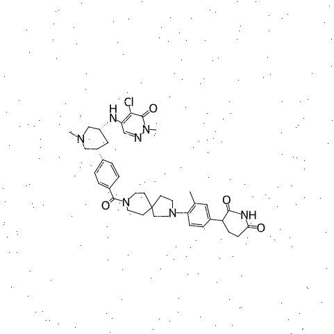 Cc1cc(C2CCC(=O)NC2=O)ccc1N1CCC2(CCN(C(=O)c3ccc([C@H]4C[C@@H](Nc5cnn(C)c(=O)c5Cl)CN(C)C4)cc3)CC2)CC1